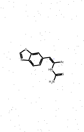 CC(=O)/C(=C/c1ccc2ncsc2c1)NC(N)=S